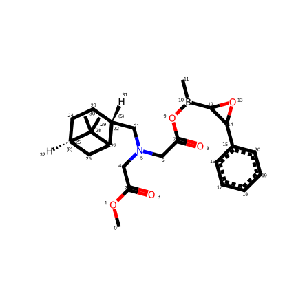 COC(=O)CN(CC(=O)OB(C)C1OC1c1ccccc1)C[C@H]1CC[C@@H]2CC1C2(C)C